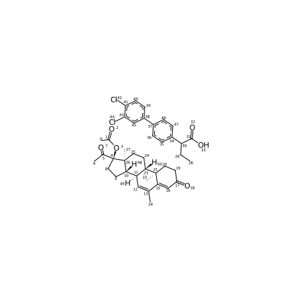 CC(=O)O[C@]1(C(C)=O)CC[C@H]2[C@@H]3C=C(C)C4=CC(=O)CC[C@]4(C)[C@H]3CC[C@@]21C.CCC(C(=O)O)c1ccc(-c2ccc(Cl)c(Cl)c2)cc1